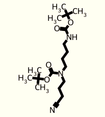 CC(C)(C)OC(=O)NCCCCN(CCCC#N)C(=O)OC(C)(C)C